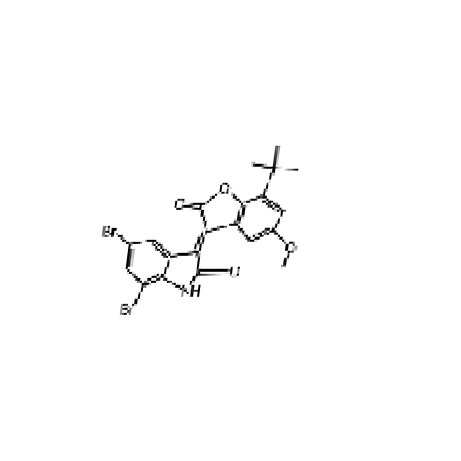 COc1cc2c(c(C(C)(C)C)c1)OC(=O)C2=C1C(=O)Nc2c(Br)cc(Br)cc21